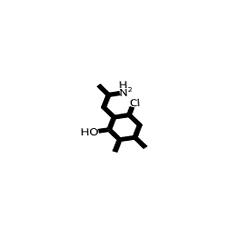 CC(N)CC1C(Cl)CC(C)C(C)C1O